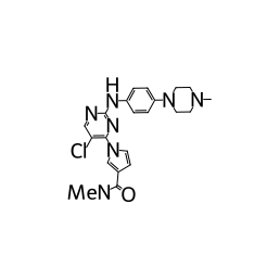 CNC(=O)c1ccn(-c2nc(Nc3ccc(N4CCN(C)CC4)cc3)ncc2Cl)c1